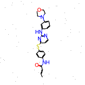 CC=CC(=O)Nc1ccc(Sc2ccnc(Nc3cccc(N4CCOCC4)c3)n2)cc1